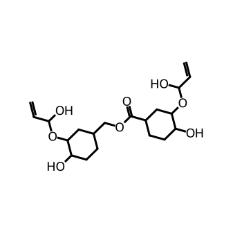 C=CC(O)OC1CC(COC(=O)C2CCC(O)C(OC(O)C=C)C2)CCC1O